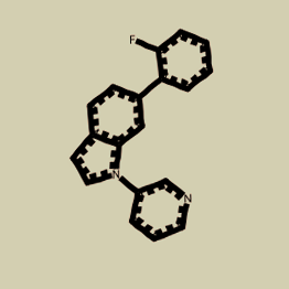 Fc1ccccc1-c1ccc2ccn(-c3cccnc3)c2c1